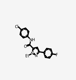 CCn1nc(-c2ccc(F)cc2)cc1C(=O)Nc1ccc(Cl)cc1